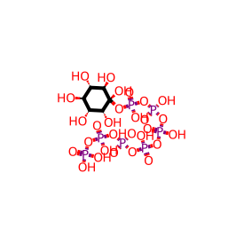 O=P(O)(O)OP(=O)(O)OP(=O)(O)OP(=O)(O)OP(=O)(O)OP(=O)(O)OP(=O)(O)O[C@]1(O)[C@H](O)[C@H](O)[C@@H](O)[C@H](O)[C@H]1O